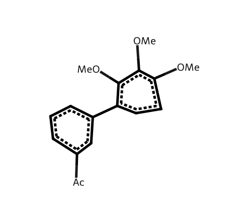 COc1ccc(-c2cccc(C(C)=O)c2)c(OC)c1OC